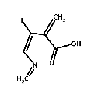 C=N/C=C(/I)C(=C)C(=O)O